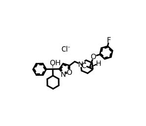 O[C@](c1ccccc1)(c1cc(C[N+]23CCC(CC2)[C@@H](Oc2cccc(F)c2)C3)on1)C1CCCCC1.[Cl-]